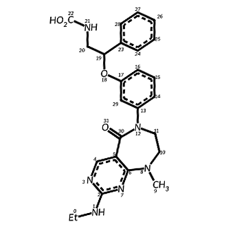 CCNc1ncc2c(n1)N(C)CCN(c1cccc(OC(CNC(=O)O)c3ccccc3)c1)C2=O